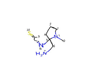 CN1CCCC1(CN)N=C=S